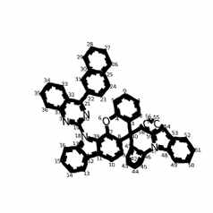 c1ccc2c(c1)Oc1c(ccc3c4ccccc4n(-c4nc(-c5ccc6ccccc6c5)c5ccccc5n4)c13)C21c2ccccc2-n2c3ccccc3c3cccc1c32